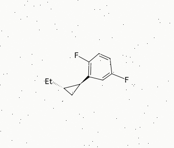 CC[C@H]1C[C@@H]1c1cc(F)ccc1F